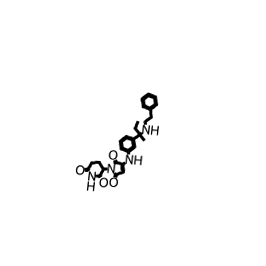 CCC(C)(NCCc1ccccc1)c1cccc(NC2=CC(=O)N(C3CCC(=O)NC3=O)C2=O)c1